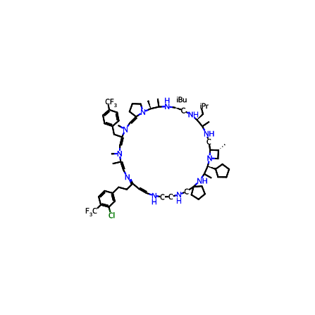 CC[C@H](C)[C@H]1CN[C@@H](CC(C)C)C(C)NCC2[C@H](C)CN2[C@@H](C2CCCC2)C(C)NC2(CCCC2)CNCCNC=CC(CCc2ccc(C(F)(F)F)c(Cl)c2)=NC=C(C)N(C)C=C(Cc2ccc(C(F)(F)F)cc2)N(C)C=C2CCCN2[C@@H](C)C(C)N1